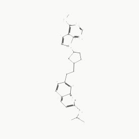 CNc1ncnc2c1ccn2C1CCC(CCc2ccc3ccc(NC(C)C)nc3c2)C1